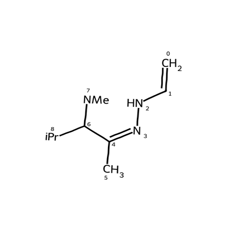 C=CN/N=C(/C)C(NC)C(C)C